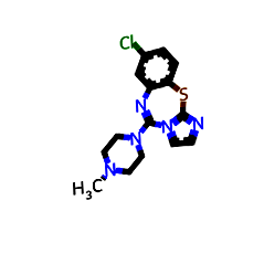 CN1CCN(C2=Nc3cc(Cl)ccc3Sc3nccn32)CC1